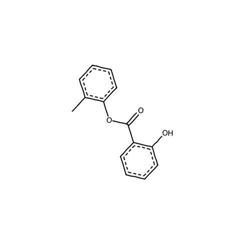 Cc1ccccc1OC(=O)c1ccccc1O